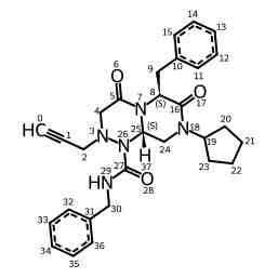 C#CCN1CC(=O)N2[C@@H](Cc3ccccc3)C(=O)N(C3CCCC3)C[C@@H]2N1C(=O)NCc1ccccc1